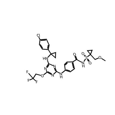 COCC1(S(=O)(=O)NC(=O)c2ccc(Nc3nc(NC4(c5ccc(Cl)cc5)CC4)nc(OCC(F)(F)F)n3)cc2)CC1